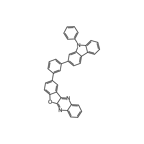 c1ccc(-n2c3ccccc3c3ccc(-c4cccc(-c5ccc6oc7nc8ccccc8nc7c6c5)c4)cc32)cc1